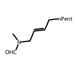 CCCCCC/C=C/CN(C)C=O